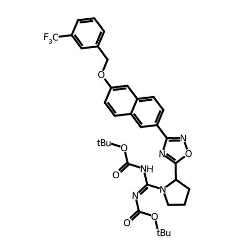 CC(C)(C)OC(=O)N=C(NC(=O)OC(C)(C)C)N1CCCC1c1nc(-c2ccc3cc(OCc4cccc(C(F)(F)F)c4)ccc3c2)no1